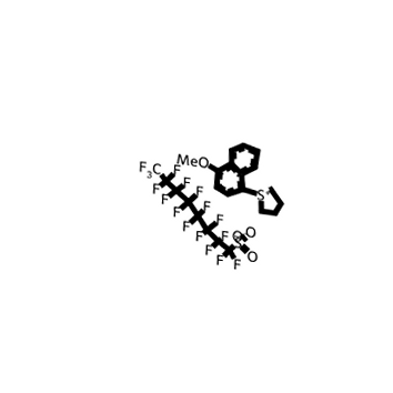 COc1ccc([S+]2CCCC2)c2ccccc12.O=S(=O)([O-])C(F)(F)C(F)(F)C(F)(F)C(F)(F)C(F)(F)C(F)(F)C(F)(F)C(F)(F)F